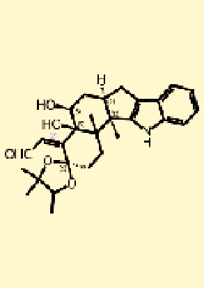 CC1O[C@@]2(CCC3(C)[C@@]4(C)c5[nH]c6ccccc6c5C[C@@H]4C[C@H](O)[C@@]3(O)/C2=C/C=O)OC1(C)C